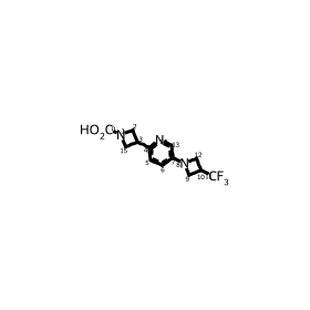 O=C(O)N1CC(c2ccc(N3CC(C(F)(F)F)C3)cn2)C1